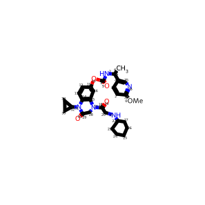 COc1ccc(C(C)NC(=O)Oc2ccc3c(c2)N(C(=O)CNC2CCCCC2)CC(=O)N3C2CC2)cn1